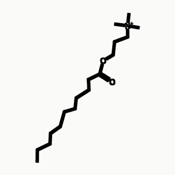 CCCCCCCCCCC(=O)OCCC[N+](C)(C)C